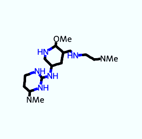 CNCCNCC1CC(NC2NCCC(NC)N2)CNC1OC